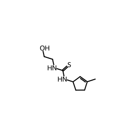 CC1=CC(NC(=S)NCCO)CC1